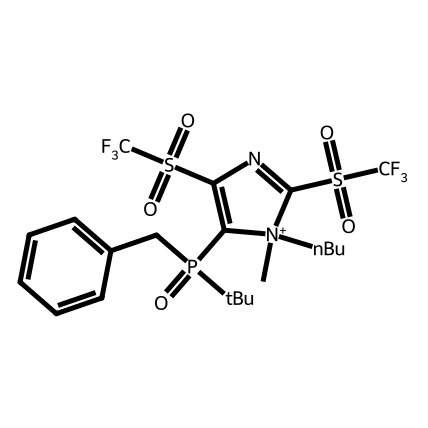 CCCC[N+]1(C)C(S(=O)(=O)C(F)(F)F)=NC(S(=O)(=O)C(F)(F)F)=C1P(=O)(Cc1ccccc1)C(C)(C)C